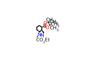 CCOC(=O)Cn1ncc2c(B3OC(C)(C)C(C)(C)O3)cccc21